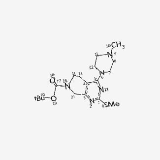 CSc1nc2c(c(N3CCN(C)CC3)n1)CCN(C(=O)OC(C)(C)C)C2